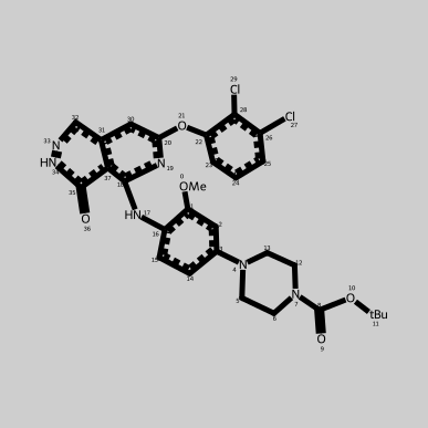 COc1cc(N2CCN(C(=O)OC(C)(C)C)CC2)ccc1Nc1nc(Oc2cccc(Cl)c2Cl)cc2cn[nH]c(=O)c12